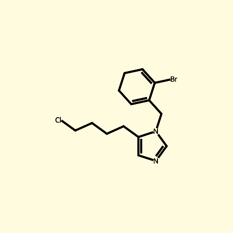 ClCCCCc1cncn1CC1=CCCC=C1Br